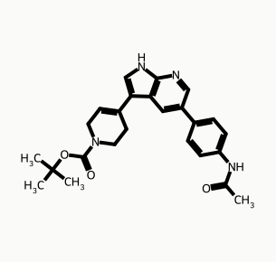 CC(=O)Nc1ccc(-c2cnc3[nH]cc(C4=CCN(C(=O)OC(C)(C)C)CC4)c3c2)cc1